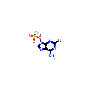 CCc1nc(N)c2ncn(OS(C)(=O)=O)c2n1